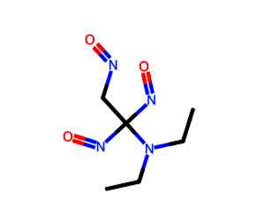 CCN(CC)C(CN=O)(N=O)N=O